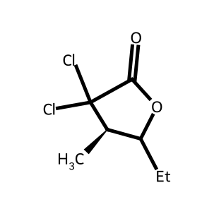 CCC1OC(=O)C(Cl)(Cl)[C@@H]1C